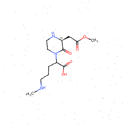 CNCCCC(C(=O)O)N1CCN[C@@H](CC(=O)OC)C1=O